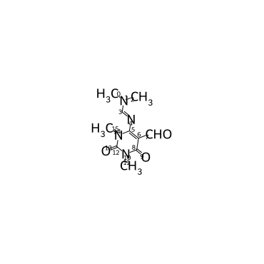 CN(C)/C=N/c1c(C=O)c(=O)n(C)c(=O)n1C